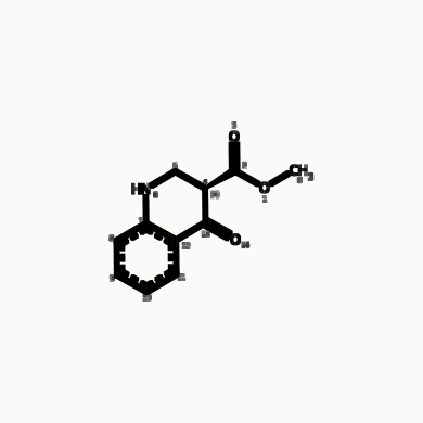 COC(=O)[C@@H]1CNc2ccccc2C1=O